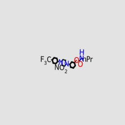 [CH2]CCNC(=O)Oc1cccc(N2CCN(c3ccc(C(F)(F)F)cc3[N+](=O)[O-])CC2)c1